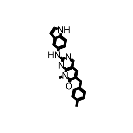 Cc1ccc(Cc2cc3cnc(Nc4ccc5[nH]ccc5c4)nc3n(C)c2=O)cc1